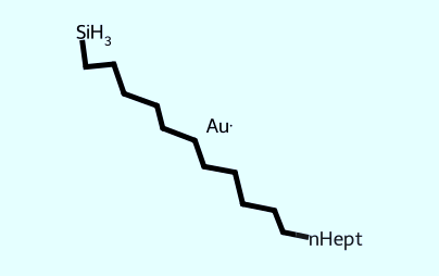 CCCCCCCCCCCCCCCCCC[SiH3].[Au]